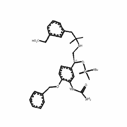 CC(C)(Cc1cccc(CC(=O)O)c1)NC[C@@H](O[Si](C)(C)C(C)(C)C)c1ccc(OCc2ccccc2)c(NC(N)=O)c1